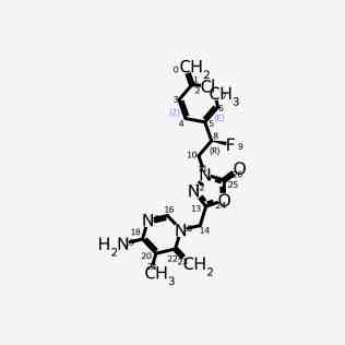 C=C(Cl)/C=C\C(=C/C)[C@@H](F)Cn1nc(CN2C=NC(N)=C(C)C2=C)oc1=O